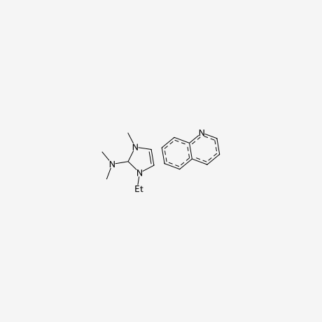 CCN1C=CN(C)C1N(C)C.c1ccc2ncccc2c1